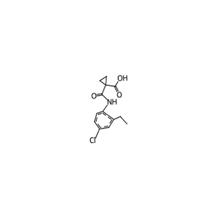 CCc1cc(Cl)ccc1NC(=O)C1(C(=O)O)CC1